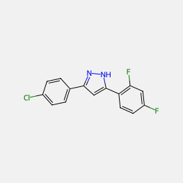 Fc1ccc(-c2cc(-c3ccc(Cl)cc3)n[nH]2)c(F)c1